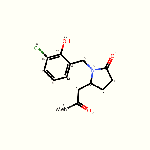 CNC(=O)CC1CCC(=O)N1Cc1cccc(Cl)c1O